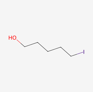 OCCCCCI